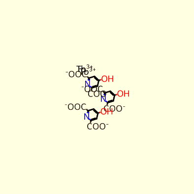 O=C([O-])c1cc(O)cc(C(=O)[O-])n1.O=C([O-])c1cc(O)cc(C(=O)[O-])n1.O=C([O-])c1cc(O)cc(C(=O)[O-])n1.[Tb+3].[Tb+3]